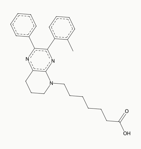 Cc1ccccc1-c1nc2c(nc1-c1ccccc1)CCCN2CCCCCCC(=O)O